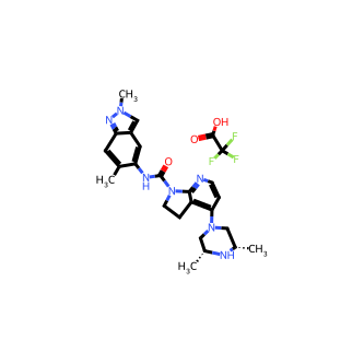 Cc1cc2nn(C)cc2cc1NC(=O)N1CCc2c(N3C[C@@H](C)N[C@@H](C)C3)ccnc21.O=C(O)C(F)(F)F